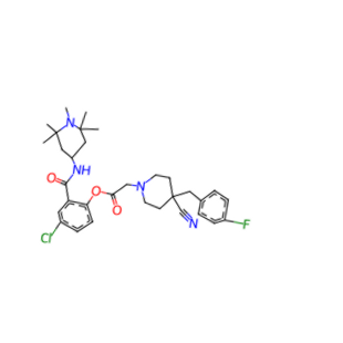 CN1C(C)(C)CC(NC(=O)c2cc(Cl)ccc2OC(=O)CN2CCC(C#N)(Cc3ccc(F)cc3)CC2)CC1(C)C